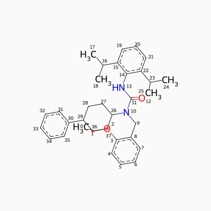 CCOc1ccccc1CN(C(=O)Nc1c(C(C)C)cccc1C(C)C)C1CCC(c2ccccc2)CC1